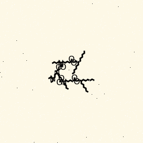 CCCCCCC(CCCCCC)COC(=O)CCCCN(CCCC)C(=O)OCCN(CCOC(=O)N(CCCC)CCCCC(=O)OCC(CCCCCC)CCCCCC)CCN(CC)CC